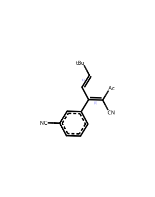 CC(=O)/C(C#N)=C(\C=C\C(C)(C)C)c1cccc(C#N)c1